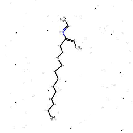 CC=NC(=CC)CCCCCCCCCCCC